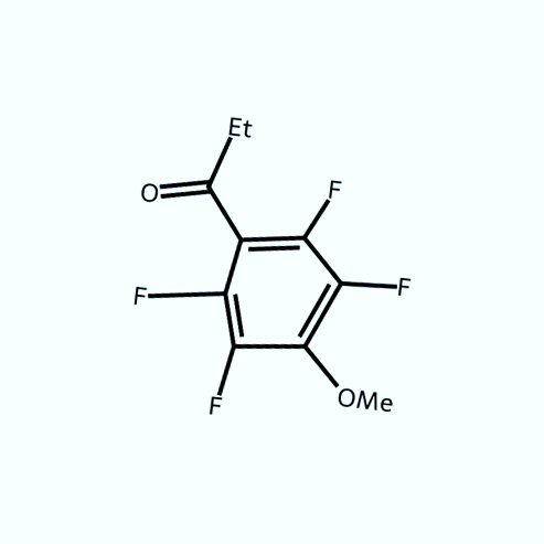 CCC(=O)c1c(F)c(F)c(OC)c(F)c1F